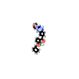 O=C(c1ccc2ncc(N3CCOCC3)nc2c1)c1cccc(OCc2ccccc2)c1Cl